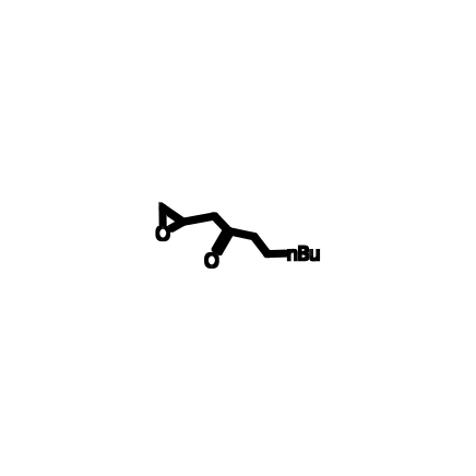 CCCCCCC(=O)CC1CO1